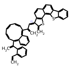 C=Cc1ccccc1C(=C)c1ccccccc(C(=C)/C=c2\c(=C)sc3c2ccc2ccc4c5ccccc5sc4c23)c2ccccc12